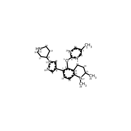 Cc1cnc(Oc2c(-c3cnn(C4CCNCC4)c3)ccc3c2CCC(C)N3C)nc1